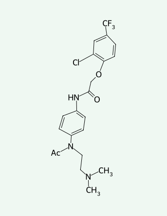 CC(=O)N(CCN(C)C)c1ccc(NC(=O)COc2ccc(C(F)(F)F)cc2Cl)cc1